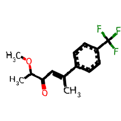 COC(C)C(=O)/C=C(\C)c1ccc(C(F)(F)F)cc1